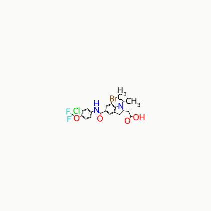 CC(C)N1c2c(Br)cc(C(=O)Nc3ccc(OC(F)(F)Cl)cc3)cc2CC1CC(=O)O